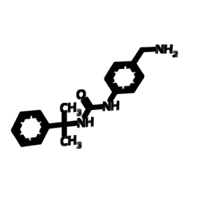 CC(C)(NC(=O)Nc1ccc(CN)cc1)c1ccccc1